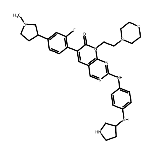 CN1CCC(c2ccc(-c3cc4cnc(Nc5ccc(NC6CCNC6)cc5)nc4n(CCN4CCOCC4)c3=O)c(F)c2)C1